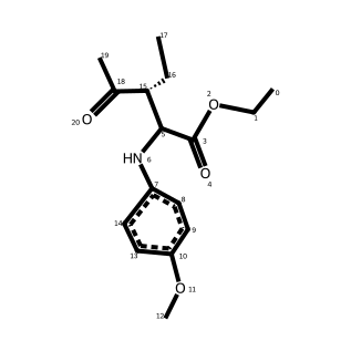 CCOC(=O)C(Nc1ccc(OC)cc1)[C@@H](CC)C(C)=O